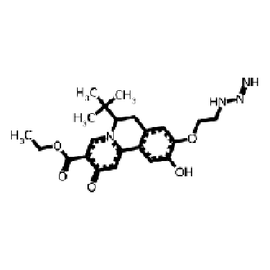 CCOC(=O)c1cn2c(cc1=O)-c1cc(O)c(OCCNN=N)cc1CC2C(C)(C)C